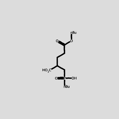 CCCCOC(=O)CCC(CP(=O)(O)CCCC)C(=O)O